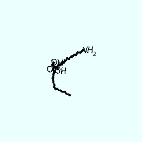 CCCCCCCC/C=C\CCCCCCCC(=O)C(CO)C(O)CCCCCCCCCCCCCCCN